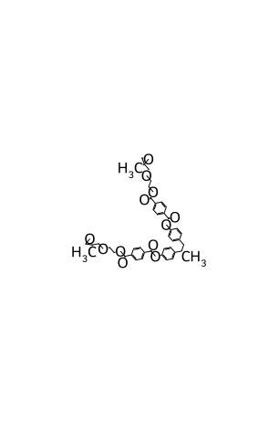 CC(Cc1ccc(OC(=O)c2ccc(C(=O)OCCOCC3(C)CO3)cc2)cc1)c1ccc(OC(=O)c2ccc(C(=O)OCCOCC3(C)CO3)cc2)cc1